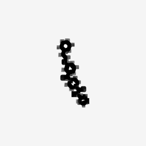 O=C(Nc1nncs1)N1CCN(C(=O)c2cccc(OCCC3CCCCC3)c2)CC1